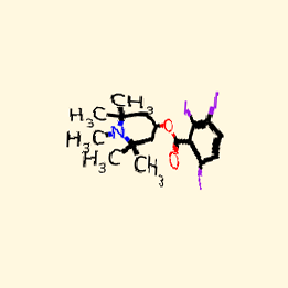 CN1C(C)(C)CC(OC(=O)c2c(I)ccc(I)c2I)CC1(C)C